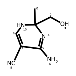 CC1(CO)N=C(N)C(C#N)=CN1